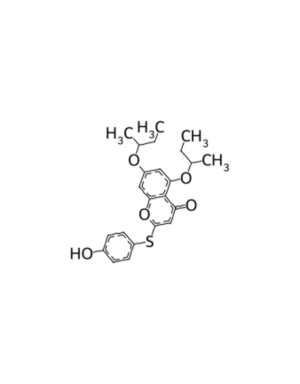 CCC(C)Oc1cc(OC(C)CC)c2c(=O)cc(Sc3ccc(O)cc3)oc2c1